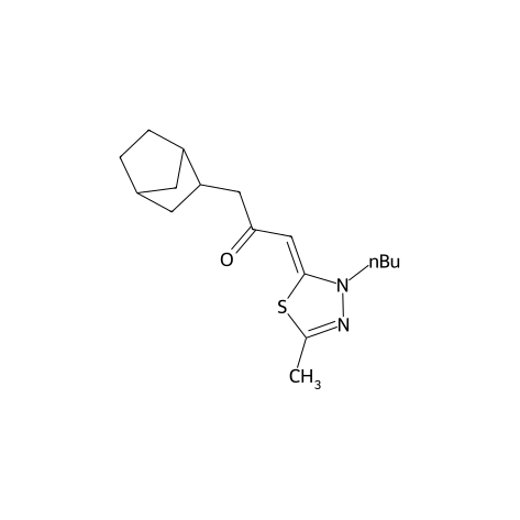 CCCCN1N=C(C)S/C1=C\C(=O)CC1CC2CCC1C2